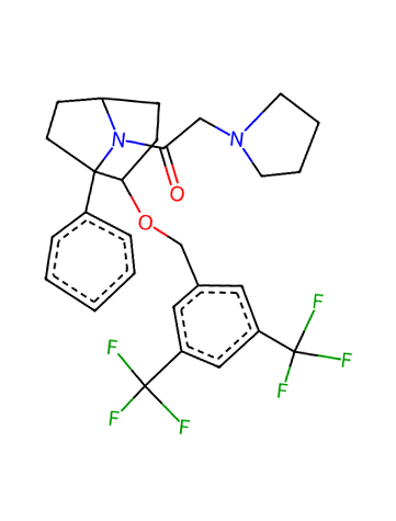 O=C(CN1CCCC1)N1C2CCC(OCc3cc(C(F)(F)F)cc(C(F)(F)F)c3)C1(c1ccccc1)CC2